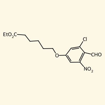 CCOC(=O)CCCCCOc1cc(Cl)c(C=O)c([N+](=O)[O-])c1